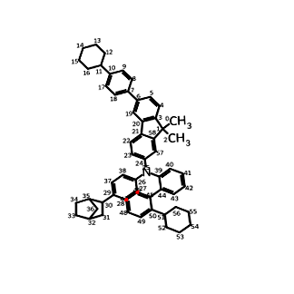 CC1(C)c2ccc(-c3ccc(C4CCCCC4)cc3)cc2-c2ccc(N(c3ccc(C4CC5CCC4C5)cc3)c3ccccc3-c3ccccc3C3CCCCC3)cc21